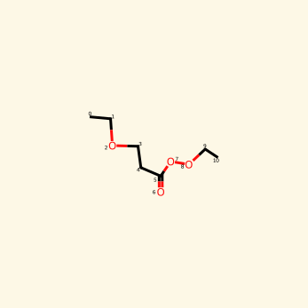 CCOCCC(=O)OOCC